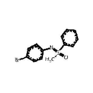 C[S@@](=O)(=Nc1ccc(Br)cc1)c1ccccc1